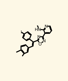 CNc1ncccc1-c1noc(/C(=C/c2ccc(C)c(C)c2)c2ccc(I)cc2)n1